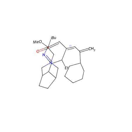 C=C(/C=C1/C=C(OC)N=C(C2C3CCC2CN(CC(=O)C(C)CC)C3)C1CC)C1CCCCC1